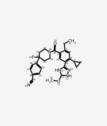 CCc1cc(C2CC2)c(C2=NNC(OC)N2)cc1C(=O)N1CCC(F)(c2ccc(C#N)cc2)CC1